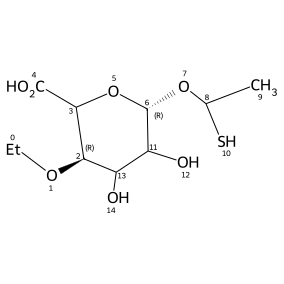 CCO[C@H]1C(C(=O)O)O[C@H](OC(C)S)C(O)C1O